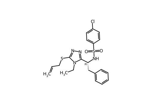 C=CCSc1nnc([C@@H](Cc2ccccc2)NS(=O)(=O)c2ccc(Cl)cc2)n1CC